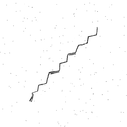 C=CCCCC=CCCC=CCCCCC